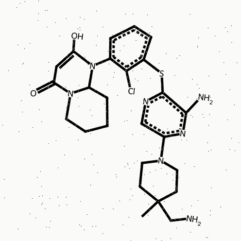 CC1(CN)CCN(c2cnc(Sc3cccc(N4C(O)=CC(=O)N5CCCCC54)c3Cl)c(N)n2)CC1